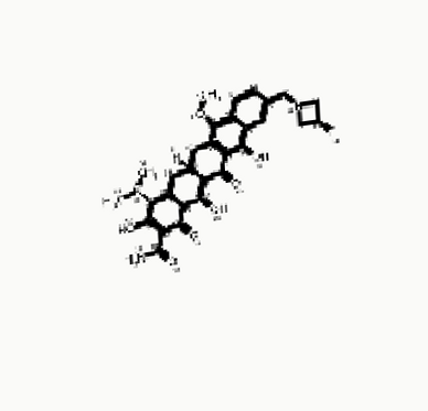 COc1c2c(c(O)c3cc(CN4CC(F)C4)ccc13)C(=O)C1=C(O)C3C(=O)C(C(N)=O)=C(O)[C@@H](N(C)C)C3C[C@@H]1C2